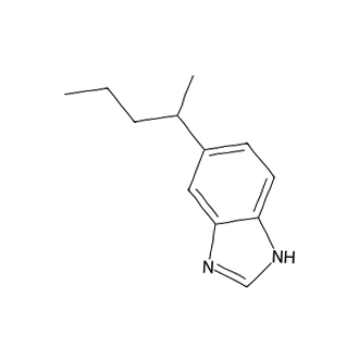 CCCC(C)c1ccc2[nH]cnc2c1